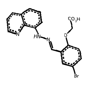 O=C(O)COc1ccc(Br)cc1C=NNc1cccc2cccnc12